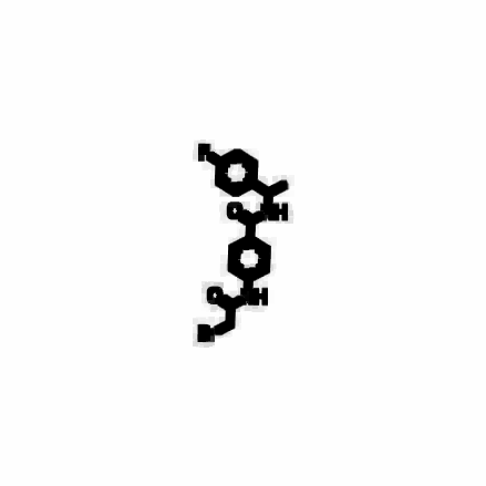 CC(NC(=O)c1ccc(NC(=O)CBr)cc1)c1ccc(F)cc1